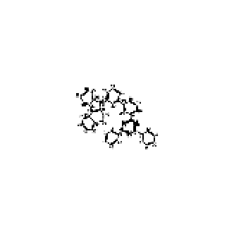 c1ccc(-c2nc(-c3ccccc3)nc(-c3cccc(-c4cccc(-n5c6ccccc6c6c7ccccc7ccc65)c4)c3)n2)cc1